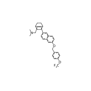 CN(C)CC1=C(c2ccc3cc(OCc4ccc(OC(F)(F)F)cc4)ccc3c2)C2CCC1CC2